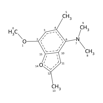 COc1cc(C)c(N(C)C)c2cc(C)oc12